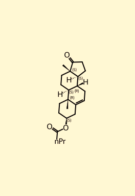 CCCC(=O)O[C@H]1CC[C@@]2(C)C(=CC[C@@H]3[C@@H]2CC[C@]2(C)C(=O)CC[C@@H]32)C1